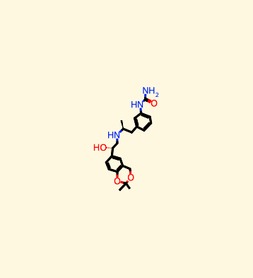 C[C@@H](Cc1cccc(NC(N)=O)c1)NC[C@@H](O)c1ccc2c(c1)COC(C)(C)O2